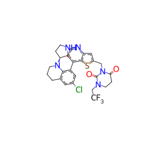 O=C1CCN(CC(F)(F)F)C(=O)N1Cc1cc2nccc(-c3cc(Cl)cc4c3N([C@H]3CCNC3)CCC4)c2s1